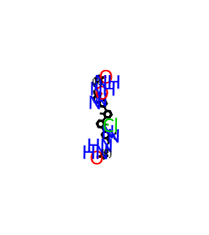 Cc1c(-c2ccn3c(=O)c(CNC[C@H]4CCC(=O)N4)cnc3c2)cccc1-c1cccc(-c2ccc(CNC[C@H]3CCC(=O)N3)c(N(C)C)n2)c1Cl